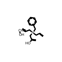 C=CC[N+](CC=C)(CC(=C)O)Cc1ccccc1.O=[C-]O